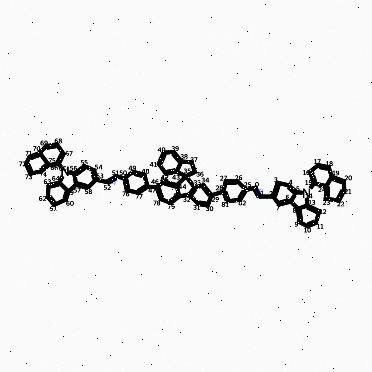 C(=C\c1ccc2c(c1)c1ccccc1n2-c1cccc2ccccc12)/c1ccc(-c2ccc3c(c2)C2(CCc4ccccc42)c2cc(-c4ccc(/C=C/c5ccc6c(c5)c5ccccc5n6-c5cccc6ccccc56)cc4)ccc2-3)cc1